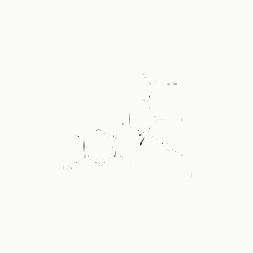 C[C@@H](O)[C@H]1O[C@@H](n2cc(F)c(N)nc2=O)[C@@](O)(C#CCF)C1O